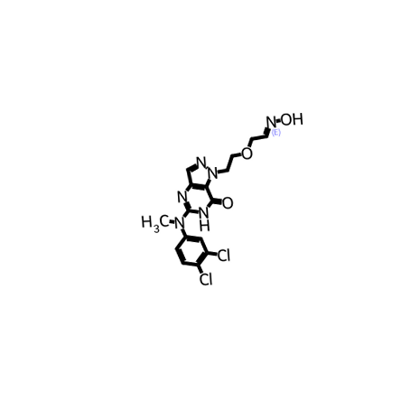 CN(c1ccc(Cl)c(Cl)c1)c1nc2cnn(CCOC/C=N/O)c2c(=O)[nH]1